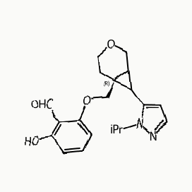 CC(C)n1nccc1C1C2COCC[C@]21COc1cccc(O)c1C=O